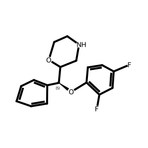 Fc1ccc(O[C@@H](c2ccccc2)C2CNCCO2)c(F)c1